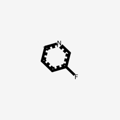 Fc1cc[c]nc1